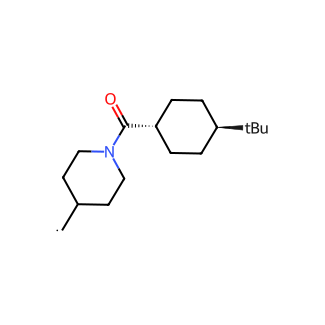 [CH2]C1CCN(C(=O)[C@H]2CC[C@H](C(C)(C)C)CC2)CC1